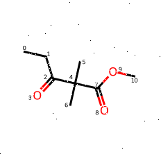 CCC(=O)C(C)(C)C(=O)OC